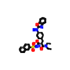 CCN(CC)C(=O)C(CC1CCC(Nc2nc3ccccc3o2)CC1)C(=O)NS(=O)(=O)c1ccc2ccccc2c1